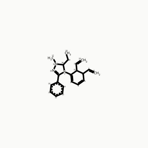 C=CC1C=CC=C(N2C(c3ccccc3)=NN(C)C2CC)C1C=C